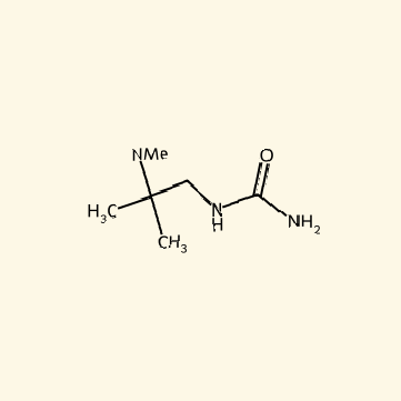 CNC(C)(C)CNC(N)=O